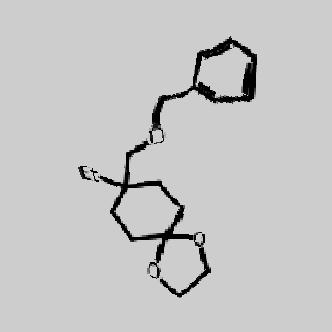 CCC1(COCc2ccccc2)CCC2(CC1)OCCO2